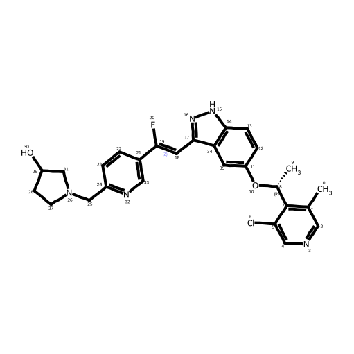 Cc1cncc(Cl)c1[C@@H](C)Oc1ccc2[nH]nc(/C=C(\F)c3ccc(CN4CCC(O)C4)nc3)c2c1